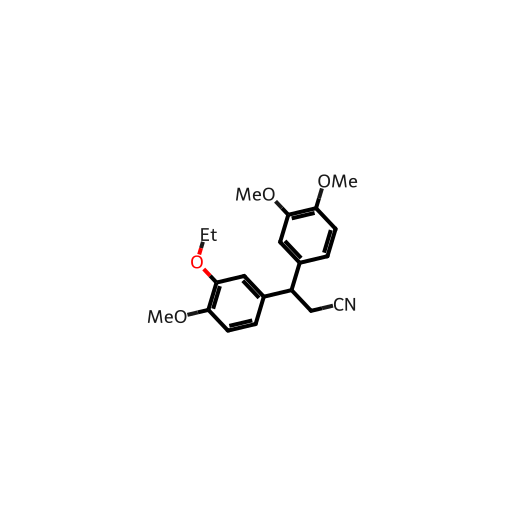 CCOc1cc(C(CC#N)c2ccc(OC)c(OC)c2)ccc1OC